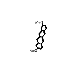 COc1ccc2cc3cc4ccc(OC)cc4cc3cc2c1